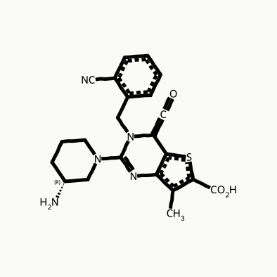 Cc1c(C(=O)O)sc2c1N=C(N1CCC[C@@H](N)C1)N(Cc1ccccc1C#N)C2=C=O